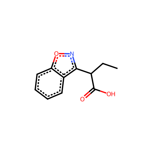 CCC(C(=O)O)c1noc2ccccc12